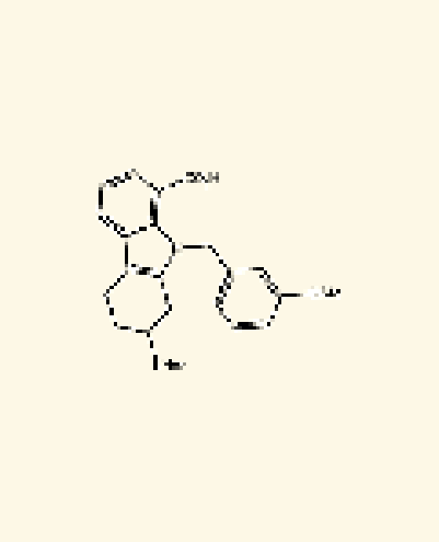 CCCCCCC1CCc2c(n(Cc3cccc(OC)c3)c3c(C(=O)O)cccc23)C1